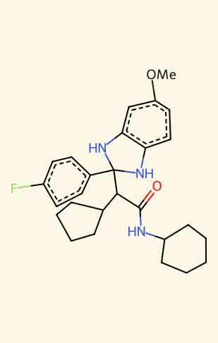 COc1ccc2c(c1)NC(c1ccc(F)cc1)(C(C(=O)NC1CCCCC1)C1CCCC1)N2